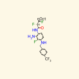 CCCCCCCC[C@@H](F)[C@@H](F)C(=O)Nc1ccc(NCc2ccc(C(F)(F)F)cc2)c(F)c1N